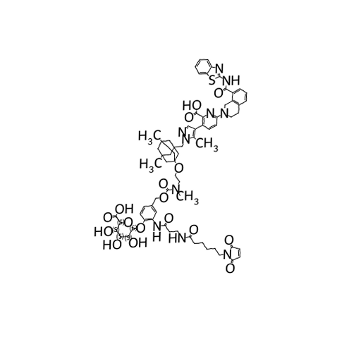 Cc1c(-c2ccc(N3CCc4cccc(C(=O)Nc5nc6ccccc6s5)c4C3)nc2C(=O)O)cnn1CC12CC3(C)CC(C)(C1)CC(OCCN(C)C(=O)OCc1ccc(O[C@@H]4O[C@H](C(=O)O)[C@@H](O)[C@H](O)[C@@H]4O)c(NC(=O)CCNC(=O)CCCCCN4C(=O)C=CC4=O)c1)(C3)C2